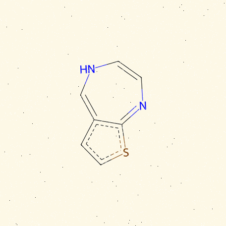 C1=CNC=c2ccsc2=N1